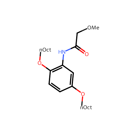 CCCCCCCCOc1ccc(OCCCCCCCC)c(NC(=O)COC)c1